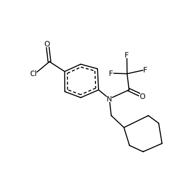 O=C(Cl)c1ccc(N(CC2CCCCC2)C(=O)C(F)(F)F)cc1